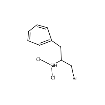 Cl[SiH](Cl)C(CBr)Cc1ccccc1